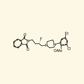 CCc1cc(Cl)c(OC)c(N2CCN(C[C@@H](F)CCN3C(=O)c4ccccc4C3=O)CC2)c1